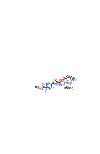 COC(=O)[C@H](COC(C)=O)NC(=O)[C@H](COC(C)=O)NC(=O)c1csc(-c2cnc(NC(=O)OC(C)(C)C)nc2)n1